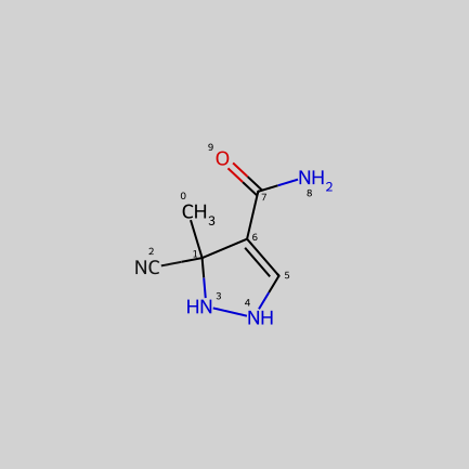 CC1(C#N)NNC=C1C(N)=O